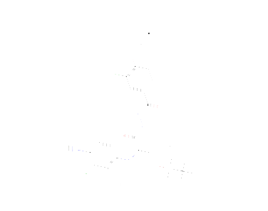 [C-]#[N+]c1ccc(N[C@@H](C(=O)NNC(=O)c2ccc(O[Si](C)(C)C(C)(C)C)c(Cl)c2)[C@H](C)O[Si](C)(C)C(C)(C)C)c(C)c1Cl